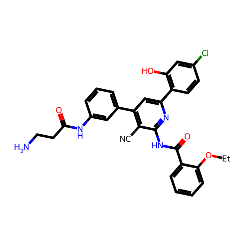 CCOc1ccccc1C(=O)Nc1nc(-c2ccc(Cl)cc2O)cc(-c2cccc(NC(=O)CCN)c2)c1C#N